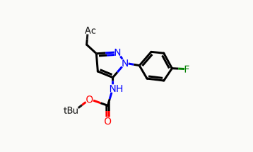 CC(=O)Cc1cc(NC(=O)OC(C)(C)C)n(-c2ccc(F)cc2)n1